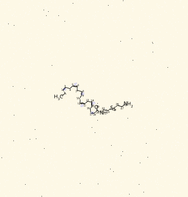 CC/C=C\C/C=C\C/C=C\C/C=C\C/C=C\C/C=C\C(=O)NCCSSCCN